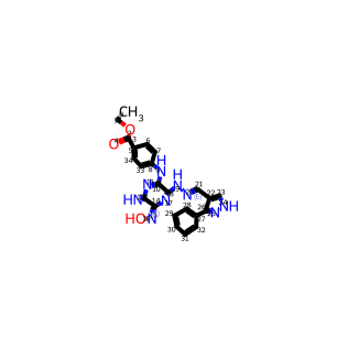 CCOC(=O)c1ccc(NC2=NC(=N)/C(=N\O)N=C2N/N=C/c2c[nH]nc2-c2ccccc2)cc1